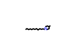 CCCCCCCCCCCCCN1CCC(C)CC1